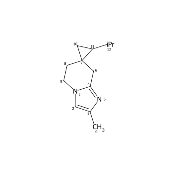 Cc1cn2c(n1)CC1(CC2)CC1C(C)C